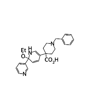 CCOC1(c2cccnc2)C=CC(C2(C(=O)O)CCN(Cc3ccccc3)CC2)=CN1